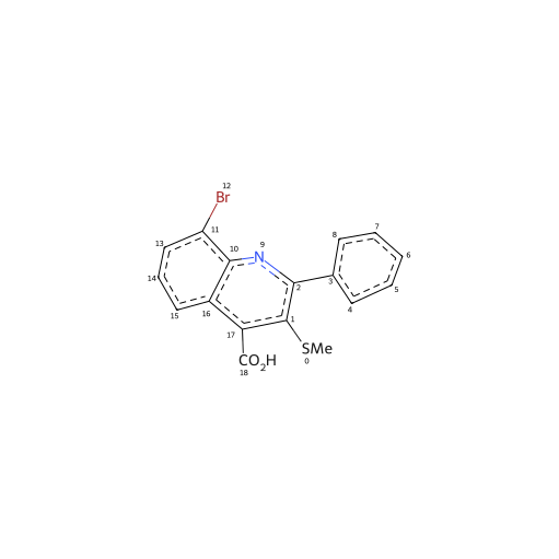 CSc1c(-c2ccccc2)nc2c(Br)cccc2c1C(=O)O